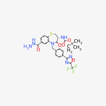 CC(C)(C)OC(=O)N[C@H]1CSc2ccc(C(=O)NN)cc2N(Cc2ccc(-c3noc(C(F)(F)F)n3)cc2)C1=O